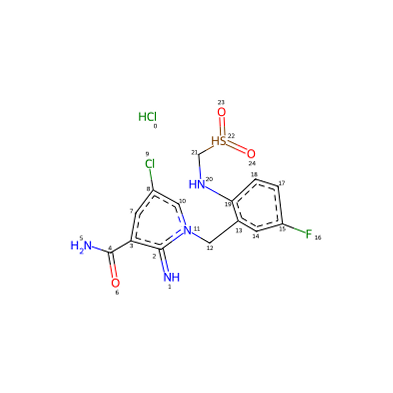 Cl.N=c1c(C(N)=O)cc(Cl)cn1Cc1cc(F)ccc1NC[SH](=O)=O